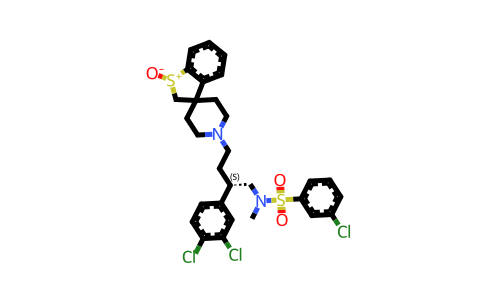 CN(C[C@@H](CCN1CCC2(CC1)C[S+]([O-])c1ccccc12)c1ccc(Cl)c(Cl)c1)S(=O)(=O)c1cccc(Cl)c1